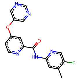 Cc1cc(NC(=O)c2cc(Oc3cncnc3)ccn2)ncc1F